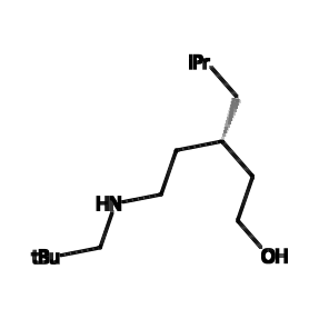 CC(C)C[C@H](CCO)CCNCC(C)(C)C